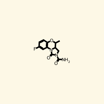 CC1Oc2ccc(F)cc2N2C(=O)N(C(N)=O)CC12